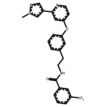 Cn1cc(-c2cc(Oc3cccc(CCNC(=O)c4cccc(C(F)(F)F)c4)c3)ccn2)cn1